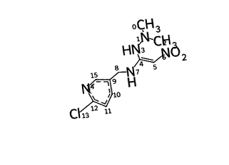 CN(C)NC(=C[N+](=O)[O-])NCc1ccc(Cl)nc1